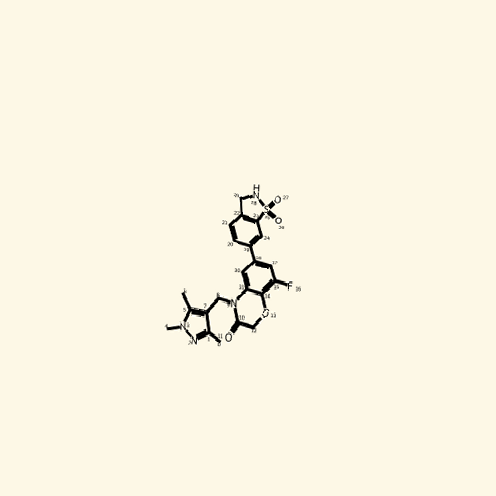 Cc1nn(C)c(C)c1CN1C(=O)COc2c(F)cc(-c3ccc4c(c3)S(=O)(=O)NC4)cc21